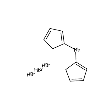 Br.Br.Br.C1=CC[C]([Nb][C]2=CC=CC2)=C1